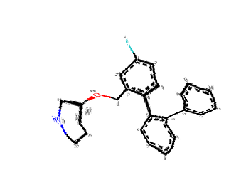 Fc1ccc(-c2ccccc2-c2ccccc2)c(CO[C@H]2CCNC2)c1